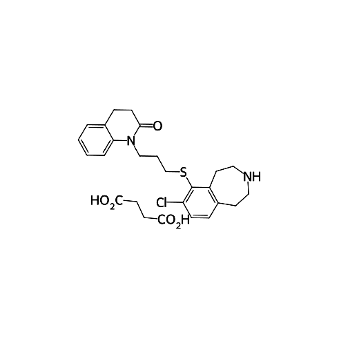 O=C(O)CCC(=O)O.O=C1CCc2ccccc2N1CCCSc1c(Cl)ccc2c1CCNCC2